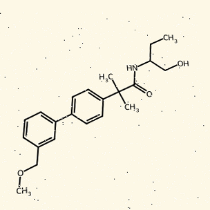 CCC(CO)NC(=O)C(C)(C)c1ccc(-c2cccc(COC)c2)cc1